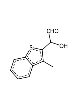 Cc1c(C(O)C=O)sc2ccccc12